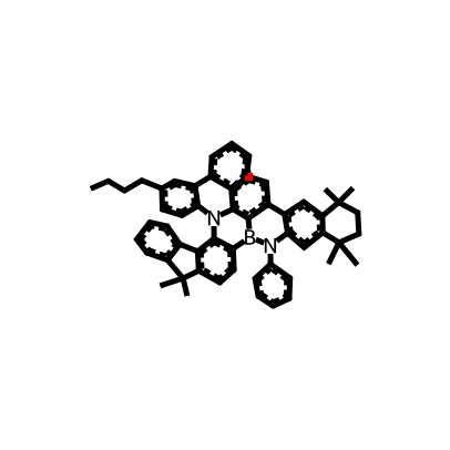 CCCCc1ccc(N2c3cc(C)cc4c3B(c3ccc5c(c32)-c2ccccc2C5(C)C)N(c2ccccc2)c2cc3c(cc2-4)C(C)(C)CCC3(C)C)c(-c2ccccc2)c1